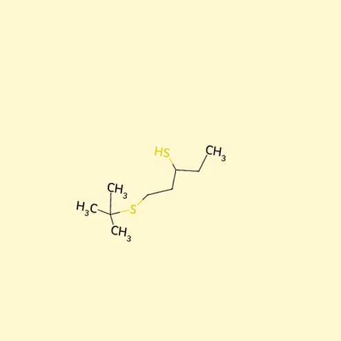 CCC(S)CCSC(C)(C)C